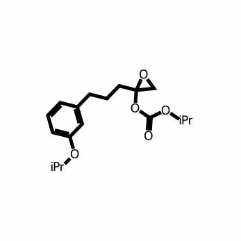 CC(C)OC(=O)OC1(CCCc2cccc(OC(C)C)c2)CO1